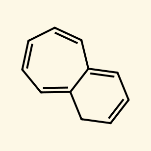 C1=CC=C2CC=CC=C2C=C1